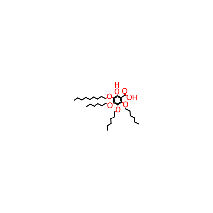 CCCCCCCCCOc1c(O)c(C(=O)O)c(OCCCCCC)c(OCCCCCC)c1OCCCCCC